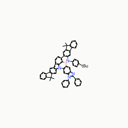 CC(C)(C)c1ccc(N2B3c4cc5nc(-c6ccccc6)n(-c6ccccc6)c5cc4-n4c5cc6c(cc5c5ccc(c3c54)-c3cc4c(cc32)-c2ccccc2C4(C)C)-c2ccccc2C6(C)C)cc1